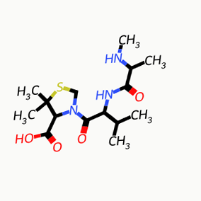 CNC(C)C(=O)NC(C(=O)N1CSC(C)(C)C1C(=O)O)C(C)C